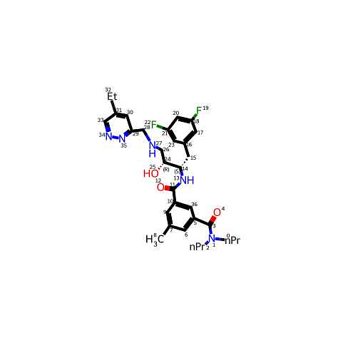 CCCN(CCC)C(=O)c1cc(C)cc(C(=O)N[C@@H](Cc2cc(F)cc(F)c2)[C@H](O)CNCc2cc(CC)cnn2)c1